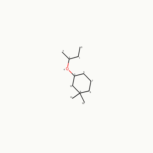 CCC(C)OC1CCCC(C)(C)C1